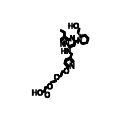 CCc1cnn2c(NCc3ccc(OCCOCCOCC(=O)O)nc3)cc(N3CCCC[C@H]3CCO)nc12